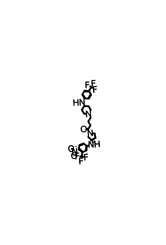 O=C(CCCN1CCC(Nc2ccc(C(F)(F)F)cc2)CC1)N1CC[C@H](Nc2ccc([N+](=O)[O-])c(C(F)(F)F)c2)C1